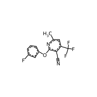 Cc1cc(C(F)(F)F)c(C#N)c(Oc2cccc(F)c2)n1